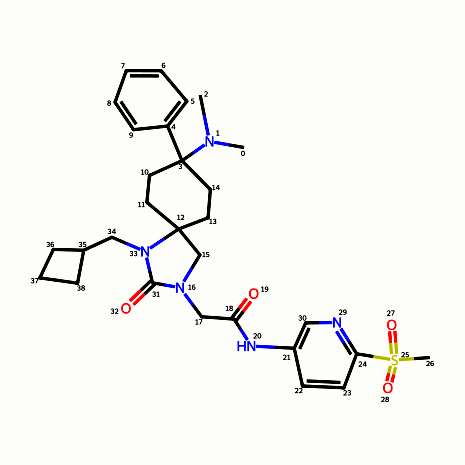 CN(C)C1(c2ccccc2)CCC2(CC1)CN(CC(=O)Nc1ccc(S(C)(=O)=O)nc1)C(=O)N2CC1CCC1